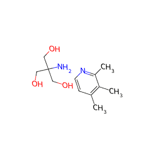 Cc1ccnc(C)c1C.NC(CO)(CO)CO